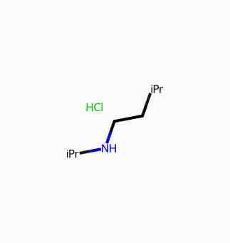 CC(C)CCNC(C)C.Cl